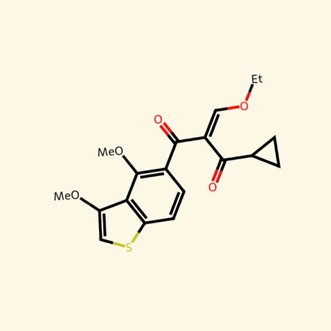 CCOC=C(C(=O)c1ccc2scc(OC)c2c1OC)C(=O)C1CC1